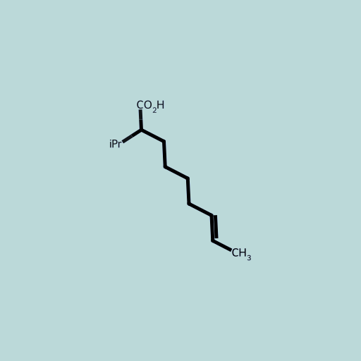 CC=CCCCCC(C(=O)O)C(C)C